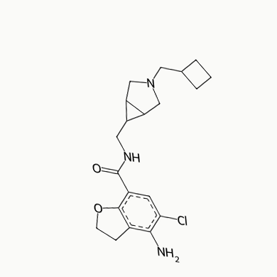 Nc1c(Cl)cc(C(=O)NCC2C3CN(CC4CCC4)CC23)c2c1CCO2